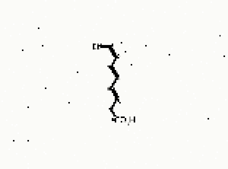 CC\C=C/C=C/C=C/CC(=O)O